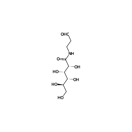 O=CCCNC(=O)[C@H](O)[C@@H](O)[C@H](O)[C@H](O)CO